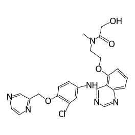 CN(CCOc1cccc2ncnc(Nc3ccc(OCc4cnccn4)c(Cl)c3)c12)C(=O)CO